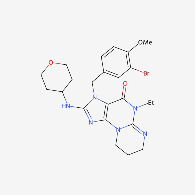 CCN1C(=O)c2c(nc(NC3CCOCC3)n2Cc2ccc(OC)c(Br)c2)N2CCCN=C12